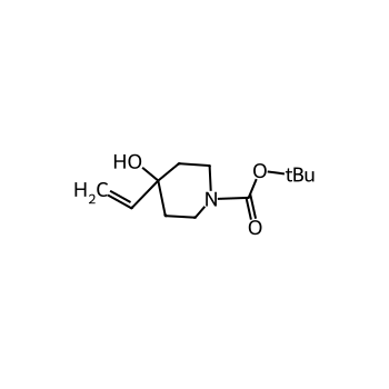 C=CC1(O)CCN(C(=O)OC(C)(C)C)CC1